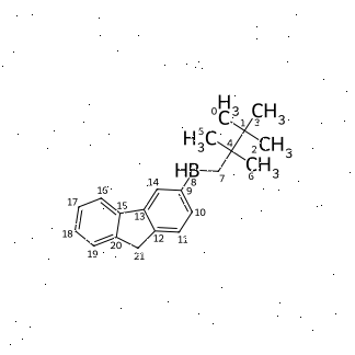 CC(C)(C)C(C)(C)CBc1ccc2c(c1)-c1ccccc1C2